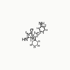 CN1C(=N)NC(COc2cccc(N)c2)(CC2CCCCC2)C1=O